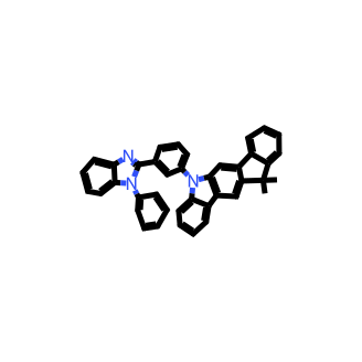 CC1(C)c2ccccc2-c2cc3c(cc21)c1ccccc1n3-c1cccc(-c2nc3ccccc3n2-c2ccccc2)c1